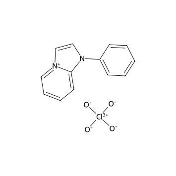 [O-][Cl+3]([O-])([O-])[O-].c1ccc(-n2cc[n+]3ccccc23)cc1